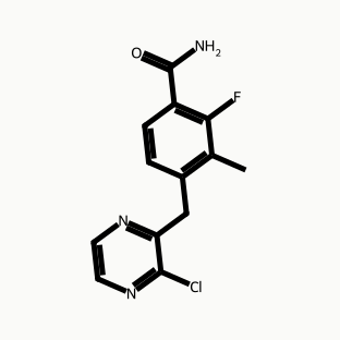 Cc1c(Cc2nccnc2Cl)ccc(C(N)=O)c1F